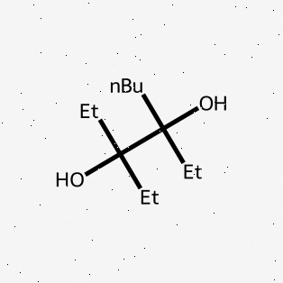 CCCCC(O)(CC)C(O)(CC)CC